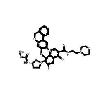 CC(C)(C)OC(=O)N[C@H]1CCN(c2c(F)cc3c(=O)c(C(=O)NCCN4CCOCC4)cn4c3c2Oc2cc3c(cc2-4)-c2ccccc2CO3)C1